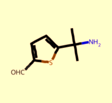 CC(C)(N)c1ccc(C=O)s1